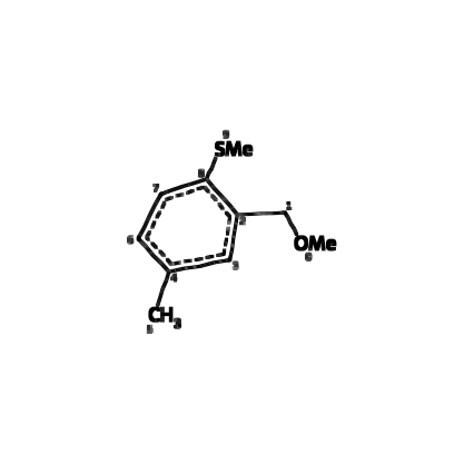 COCc1cc(C)ccc1SC